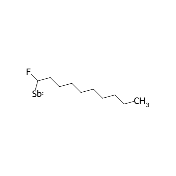 CCCCCCCCC[CH](F)[Sb]